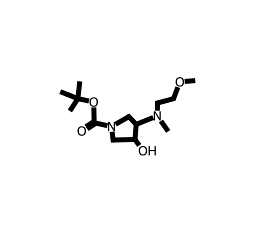 COCCN(C)C1CN(C(=O)OC(C)(C)C)CC1O